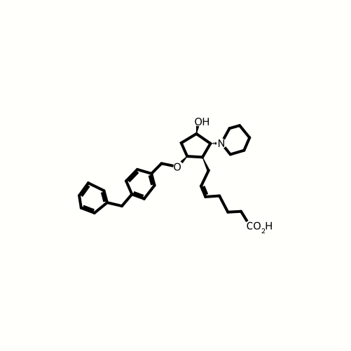 O=C(O)CCC/C=C\C[C@@H]1[C@@H](N2CCCCC2)[C@H](O)C[C@@H]1OCc1ccc(Cc2ccccc2)cc1